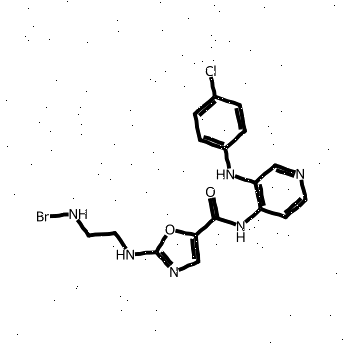 O=C(Nc1ccncc1Nc1ccc(Cl)cc1)c1cnc(NCCNBr)o1